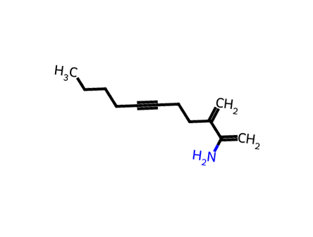 C=C(N)C(=C)CCC#CCCCC